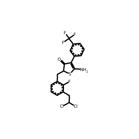 NC1=C(c2cccc(C(F)(F)F)c2)C(=O)C(Cc2cccc(CC(Cl)Cl)c2F)S1